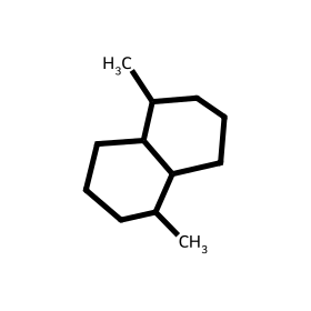 CC1CCCC2C(C)CCCC12